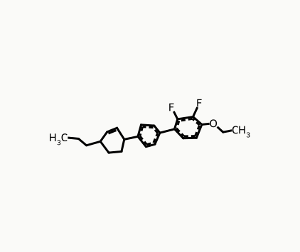 CCCC1C=CC(c2ccc(-c3ccc(OCC)c(F)c3F)cc2)CC1